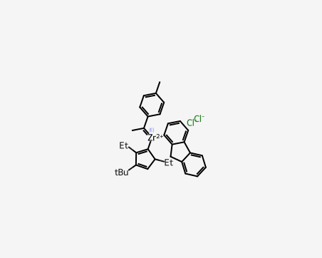 CCC1=[C](/[Zr+2](=[C](\C)c2ccc(C)cc2)[c]2cccc3c2Cc2ccccc2-3)C(CC)C=C1C(C)(C)C.[Cl-].[Cl-]